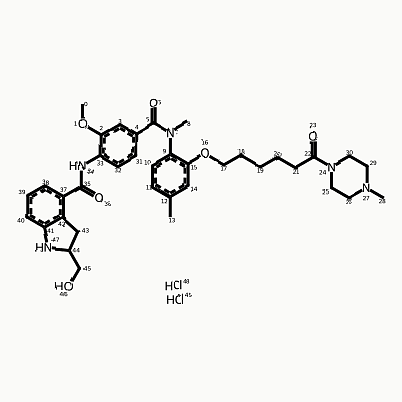 COc1cc(C(=O)N(C)c2ccc(C)cc2OCCCCCC(=O)N2CCN(C)CC2)ccc1NC(=O)c1cccc2c1CC(CO)N2.Cl.Cl